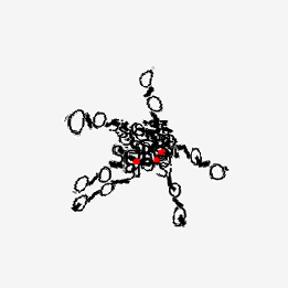 COCCOCC[Si](C)(C)[Si]12O[Si]3([Si](C)(C)C)O[Si]4([Si](C)(C)CCOCCOC)O[Si]([Si](C)(C)CCOCCOC)(O[Si]5([Si](C)(C)C)O[Si]([Si](C)(C)CCOCCOC)(O1)O[Si]([Si](C)(C)CCOCCOC)(O3)O[Si]([Si](C)(C)CCOCCOC)(O5)O4)O2